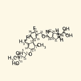 Cc1cc(O[C@H]2C[C@@H]([C@](C)(O)CO)C2)cc(C)c1-c1cc(COc2cc3c(cn2)[C@H]2[C@@H](C3)[C@@H]2C(O)O)c(F)cc1F